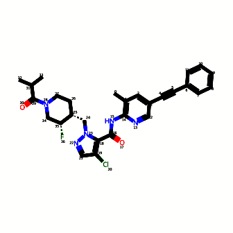 Cc1cc(C#Cc2ccccc2)cnc1NC(=O)c1c(Cl)cnn1C[C@H]1CCN(C(=O)C(C)C)C[C@H]1F